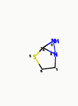 C1CN2N[C]2S1